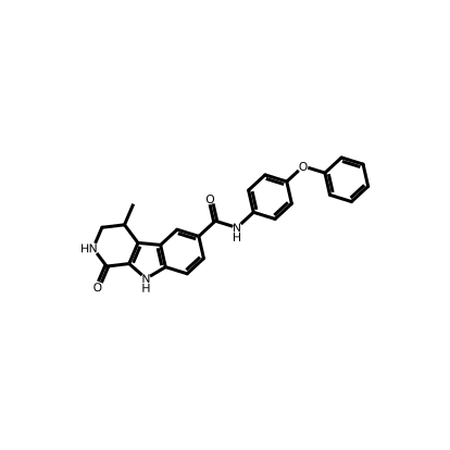 CC1CNC(=O)c2[nH]c3ccc(C(=O)Nc4ccc(Oc5ccccc5)cc4)cc3c21